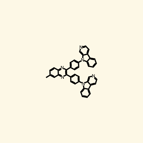 Cc1ccc2nc(-c3ccc(-n4c5ccccc5c5ccncc54)cc3)c(-c3ccc(-n4c5ccccc5c5ccncc54)cc3)nc2c1